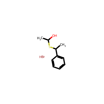 Br.CC(O)SC(C)c1ccccc1